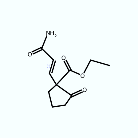 CCOC(=O)C1(/C=C/C(N)=O)CCCC1=O